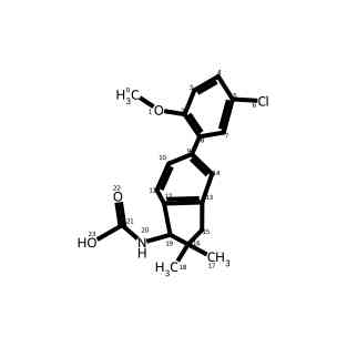 COc1ccc(Cl)cc1-c1ccc2c(c1)CC(C)(C)C2NC(=O)O